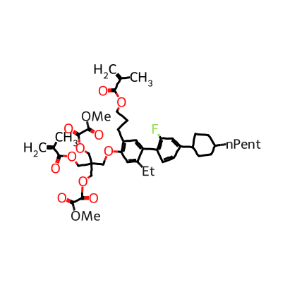 C=C(C)C(=O)OCCCc1cc(-c2ccc(C3CCC(CCCCC)CC3)cc2F)c(CC)cc1OCC(COC(=O)C(=C)C)(COC(=O)C(=O)OC)COC(=O)C(=O)OC